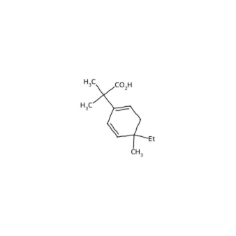 CCC1(C)C=CC(C(C)(C)C(=O)O)=CC1